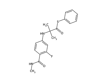 CNC(=O)c1ccc(NC(C)(C)C(=O)Sc2ccccc2)cc1F